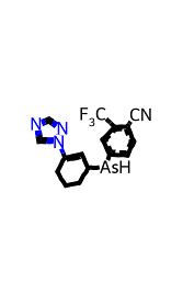 N#Cc1ccc([AsH]C2C=C(n3cncn3)CCC2)cc1C(F)(F)F